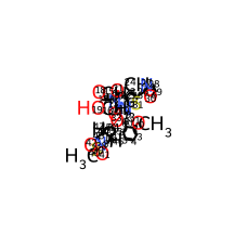 COc1ccccc1[C@H](Cn1c(=O)n(C(C)(C)C(=O)O)c(=O)c2c(C)c(-c3ncco3)sc21)O[C@H]1C[C@@H]2CN(S(C)(=O)=O)C[C@@H]2C1